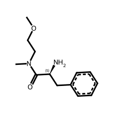 COCCN(C)C(=O)[C@@H](N)Cc1ccccc1